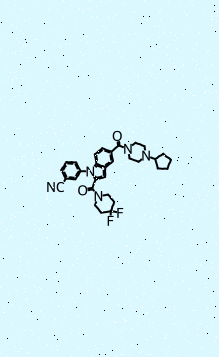 N#Cc1cccc(-n2c(C(=O)N3CCC(F)(F)CC3)cc3cc(C(=O)N4CCN(C5CCCC5)CC4)ccc32)c1